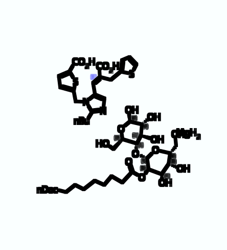 CCCCCCCCCCCCCCCCCC(=O)O[C@H]1[C@H](O[C@H]2[C@H](O)[C@@H](O)[C@H](O)O[C@@H]2CO)O[C@H](CO)[C@H](O)[C@@H]1O.CCCCc1ncc(/C=C(\Cc2cccs2)C(=O)O)n1Cc1ccc(C(=O)O)s1.[MgH2]